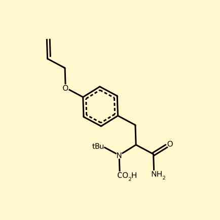 C=CCOc1ccc(CC(C(N)=O)N(C(=O)O)C(C)(C)C)cc1